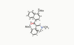 COc1ccccc1/C(=C\N(C)C)C(=O)c1ccc(OC)c2ccccc12